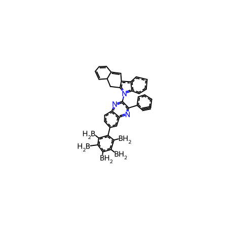 Bc1c(B)c(B)c(-c2ccc3nc(-n4c5c(c6ccccc64)C=C4C=CC=CC4C5)c(-c4c#cccc4)nc3c2)c(B)c1B